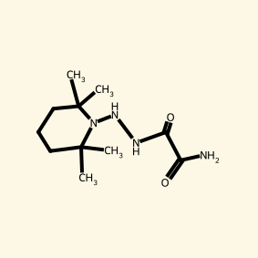 CC1(C)CCCC(C)(C)N1NNC(=O)C(N)=O